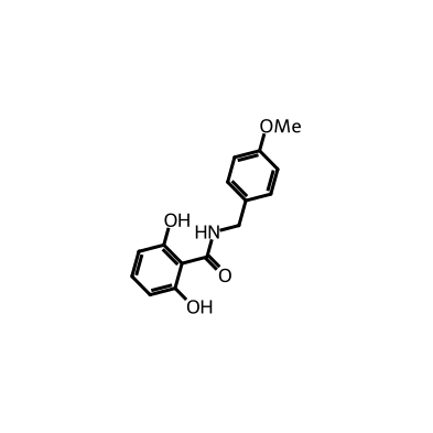 COc1ccc(CNC(=O)c2c(O)cccc2O)cc1